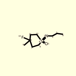 CCCN=S1(=O)CCC(C)(F)CC1